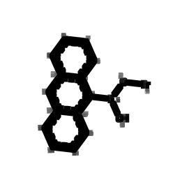 OB(OBr)c1c2ccccc2cc2ccccc12